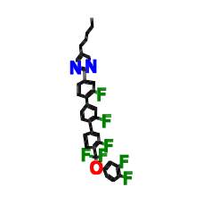 CCCCCc1cnc(-c2ccc(-c3ccc(-c4ccc(C(F)(F)Oc5ccc(F)c(F)c5)c(F)c4)c(F)c3)c(F)c2)nc1